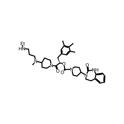 CCNCCCN(C)C1CCN(C(=O)[C@@H](Cc2cc(C)c(C)c(C)c2)OC(=O)N2CCC(N3CCc4ccccc4NC3=O)CC2)CC1